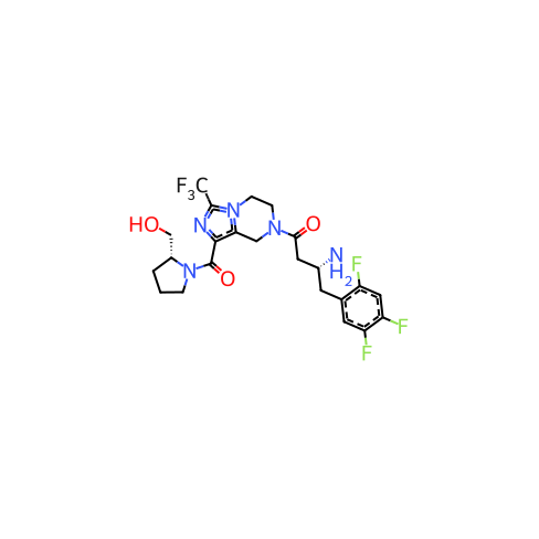 N[C@@H](CC(=O)N1CCn2c(C(F)(F)F)nc(C(=O)N3CCC[C@@H]3CO)c2C1)Cc1cc(F)c(F)cc1F